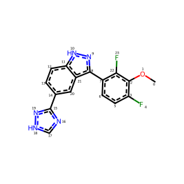 COc1c(F)ccc(-c2n[nH]c3ccc(-c4nc[nH]n4)cc23)c1F